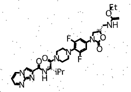 C=C(NC[C@H]1CN(c2cc(F)c(N3CCN(C(=O)[C@@H](NC(=O)c4cn5cccnc5n4)C(C)C)CC3)c(F)c2)C(=O)O1)OCC